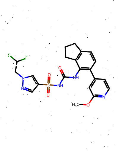 COc1cc(-c2ccc3c(c2NC(=O)NS(=O)(=O)c2cnn(CC(F)F)c2)CCC3)ccn1